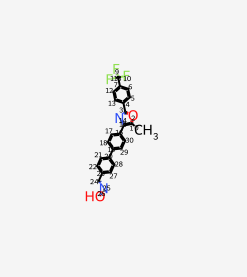 Cc1oc(-c2ccc(C(F)(F)F)cc2)nc1-c1ccc(-c2ccc(/C=N/O)cc2)cc1